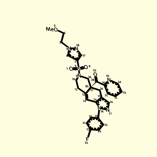 COCCn1cc(S(=O)(=O)N2CCC3=Cc4c(cnn4-c4ccc(F)cc4)C[C@]3(C(=O)c3ccccn3)C2)cn1